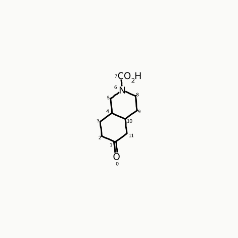 O=C1CCC2CN(C(=O)O)CCC2C1